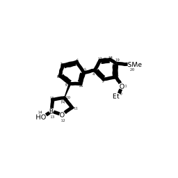 CCOc1cc(-c2cccc([C@H]3COB(O)C3)c2)ccc1SC